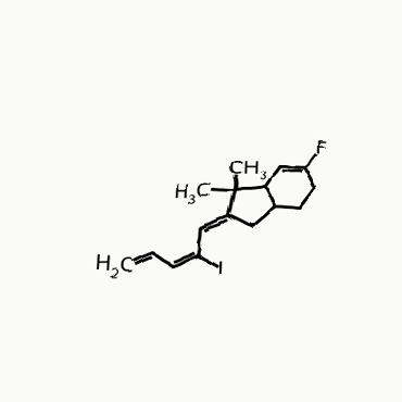 C=C/C=C(I)\C=C1/CC2CCC(F)=CC2C1(C)C